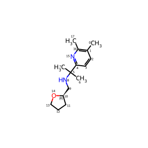 Cc1ccc(C(C)(C)NC[C@H]2CCCO2)nc1C